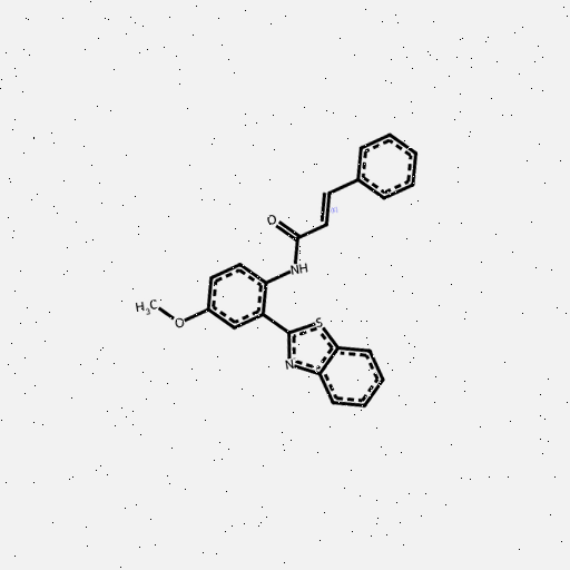 COc1ccc(NC(=O)/C=C/c2ccccc2)c(-c2nc3ccccc3s2)c1